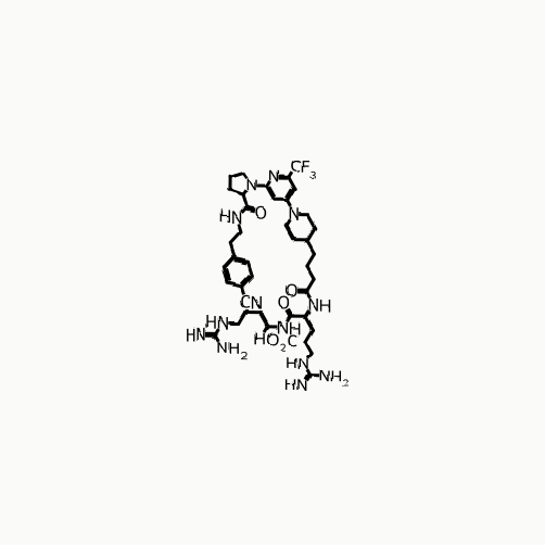 N#Cc1ccc(CCNC(=O)C2CCCN2c2cc(N3CCC(CCCC(=O)NC(CCCNC(=N)N)C(=O)NC(CCCNC(=N)N)C(=O)O)CC3)cc(C(F)(F)F)n2)cc1